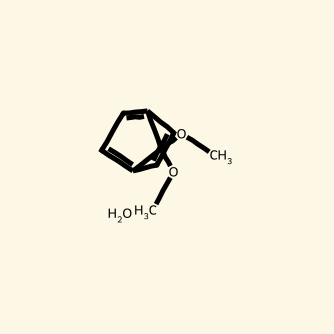 COC1(OC)C2=CC=C1C=C2.O